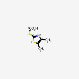 Cc1nc(SC(=O)O)sc1C